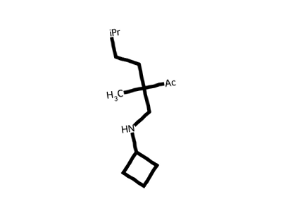 CC(=O)C(C)(CCC(C)C)CNC1CCC1